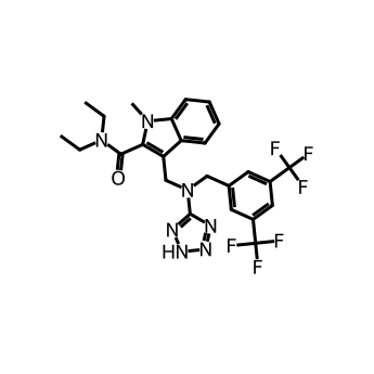 CCN(CC)C(=O)c1c(CN(Cc2cc(C(F)(F)F)cc(C(F)(F)F)c2)c2nn[nH]n2)c2ccccc2n1C